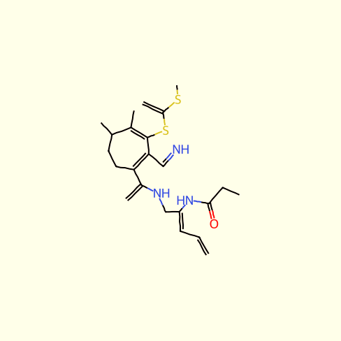 C=C/C=C(/CNC(=C)C1=C(C=N)C(SC(=C)SC)=C(C)C(C)CC1)NC(=O)CC